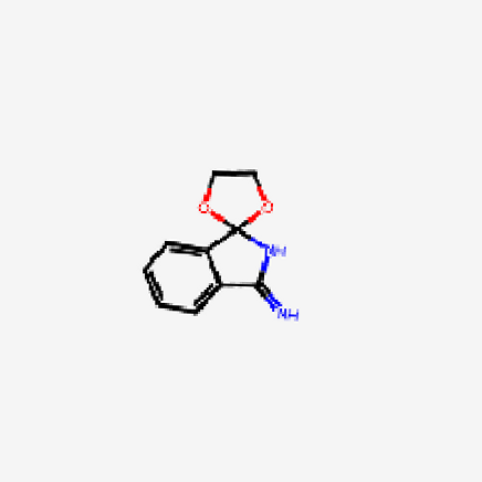 N=C1NC2(OCCO2)c2ccccc21